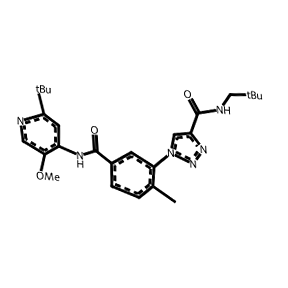 COc1cnc(C(C)(C)C)cc1NC(=O)c1ccc(C)c(-n2cc(C(=O)NCC(C)(C)C)nn2)c1